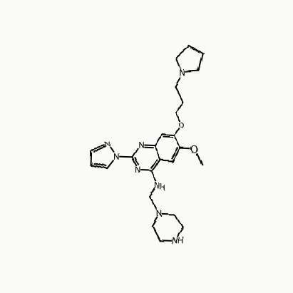 COc1cc2c(NCN3CCNCC3)nc(-n3cccn3)nc2cc1OCCCN1CCCC1